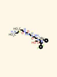 CC(C)(C)[C@H](c1cc(-c2cc(F)ccc2F)cn1Cc1ccccc1)N(CC[C@H](N)C(=O)NCCNC(=O)CNC(=O)C[C@@H](SCC[C@H](N)C(=O)O)C(=O)O)C(=O)CO